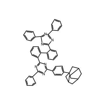 c1ccc(-c2nc(-c3ccccc3)nc(-c3ccccc3-c3ccccc3-c3nc(-c4ccccc4)nc(-c4ccc(C56CC7CC(CC(C7)C5)C6)cc4)n3)n2)cc1